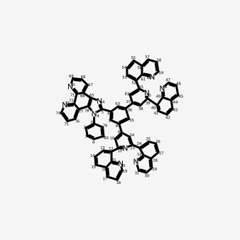 c1ccc(-n2c(-c3cc(-c4cc(-c5cccc6cccnc56)nc(-c5cccc6cccnc56)c4)cc(-c4cc(-c5cccc6cccnc56)nc(-c5cccc6cccnc56)c4)c3)nc3c4cccnc4c4ncccc4c32)cc1